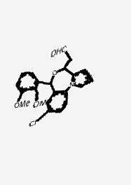 COc1cccc(C2OC(CC=O)c3cccn3-c3ccc(Cl)cc32)c1OC